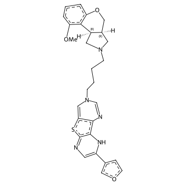 COc1cccc2c1[C@@H]1CN(CCCCN3C=Nc4c5c(sc4=C3)=NC=C(c3ccoc3)N5)C[C@@H]1CO2